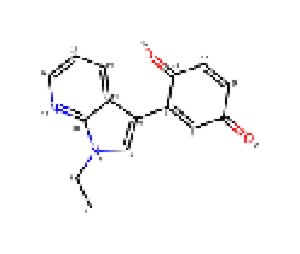 CCn1cc(C2=CC(=O)C=CC2=O)c2cccnc21